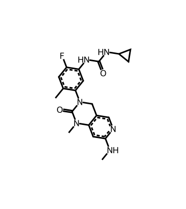 CNc1cc2c(cn1)CN(c1cc(NC(=O)NC3CC3)c(F)cc1C)C(=O)N2C